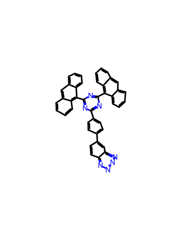 c1ccc2c(-c3nc(-c4ccc(-c5ccc6nnnnc6c5)cc4)nc(-c4c5ccccc5cc5ccccc45)n3)c3ccccc3cc2c1